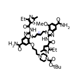 CCc1nc(C)sc1C(=O)Nc1nc2cc(C(N)=O)cc(OCCCN3CCN(C(=O)OC(C)(C)C)CC3)c2n1C/C=C/Cn1c(NC(=O)c2cc(C)nn2CC)nc2cc(C(N)=O)cc(OC)c21